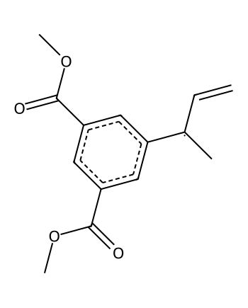 C=C[C](C)c1cc(C(=O)OC)cc(C(=O)OC)c1